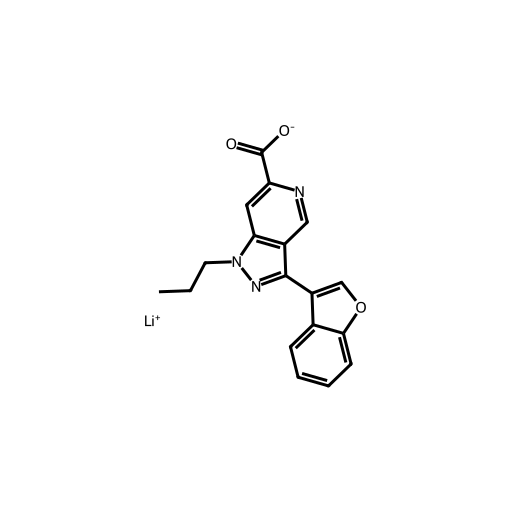 CCCn1nc(-c2coc3ccccc23)c2cnc(C(=O)[O-])cc21.[Li+]